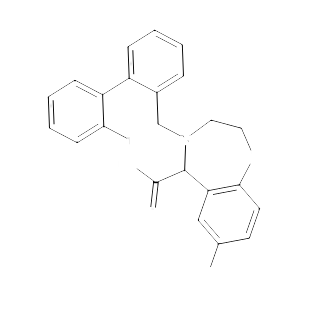 O=C(O)C1c2cc(F)ccc2OCCN1Cc1ccccc1-c1ccccc1F